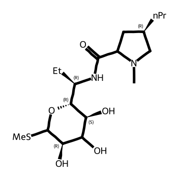 CCC[C@@H]1CC(C(=O)N[C@H](CC)[C@H]2OC(SC)[C@H](O)C(O)[C@@H]2O)N(C)C1